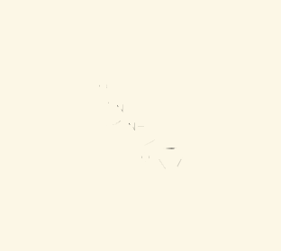 Cc1c(C(C)NC(=O)NC2(C)COC2)oc2ccccc12